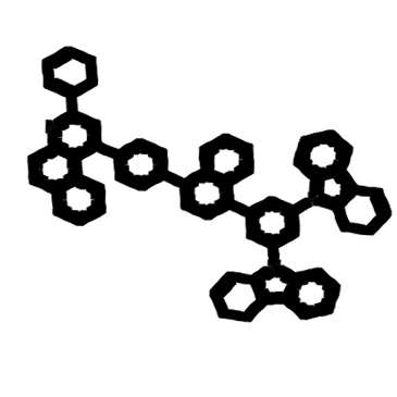 C1=CCCC(c2cc(-c3ccc(-c4ccc(-c5cc(-n6c7c(c8ccccc86)CCC=C7)cc(-n6c7c(c8ccccc86)C=CCC7)c5)c5ccccc45)cc3)c3c(ccc4ccccc43)n2)=C1